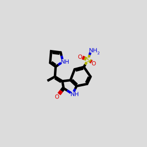 CC(=C1C(=O)Nc2ccc(S(N)(=O)=O)cc21)c1ccc[nH]1